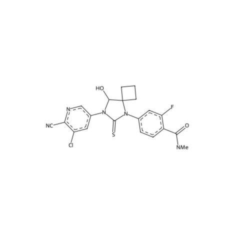 CNC(=O)c1ccc(N2C(=S)N(c3cnc(C#N)c(Cl)c3)C(O)C23CCC3)cc1F